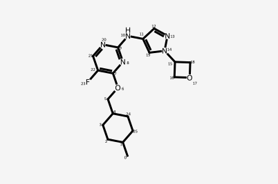 CC1CCC(COc2nc(Nc3cnn(C4COC4)c3)ncc2F)CC1